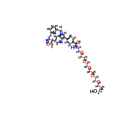 Cc1noc(C)c1-c1cnc2c(-c3ccc(C(=O)NCCOCCOCCOCCOCCOCCC(=O)O)cc3)cn([C@@H](C)c3ccccn3)c2c1